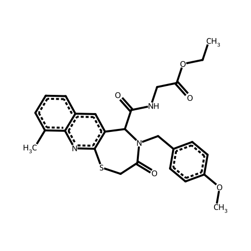 CCOC(=O)CNC(=O)C1c2cc3cccc(C)c3nc2SCC(=O)N1Cc1ccc(OC)cc1